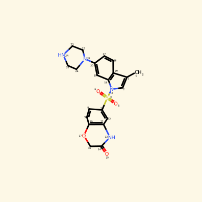 Cc1cn(S(=O)(=O)c2ccc3c(c2)NC(=O)CO3)c2cc(N3CCNCC3)ccc12